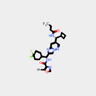 CC(C)c1ocnc1C(=O)N[C@H](c1cn2ncc([C@H](NC(=O)CCC(F)(F)F)C3CCC3)cc2n1)C1CCC(F)(F)CC1